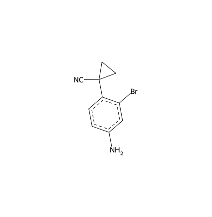 N#CC1(c2ccc(N)cc2Br)CC1